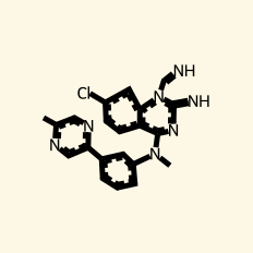 Cc1cnc(-c2cccc(N(C)c3nc(=N)n(C=N)c4cc(Cl)ccc34)c2)cn1